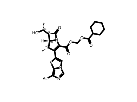 CC(=O)c1ncn2cc(C3=C(C(=O)OCOC(=O)C4CCCCC4)N4C(=O)[C@H]([C@@H](C)O)[C@H]4[C@H]3C)sc12